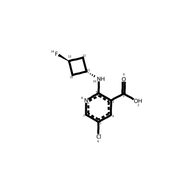 O=C(O)c1cc(Cl)cnc1N[C@H]1C[C@H](F)C1